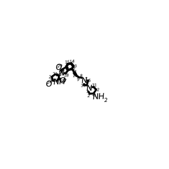 NC1CCN(C2CN(CCC#Cc3cccc4c3CN(C3CCC(=O)NC3=O)C4=O)C2)CC1